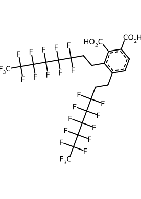 O=C(O)c1ccc(CCC(F)(F)C(F)(F)C(F)(F)C(F)(F)C(F)(F)C(F)(F)F)c(CCC(F)(F)C(F)(F)C(F)(F)C(F)(F)C(F)(F)C(F)(F)F)c1C(=O)O